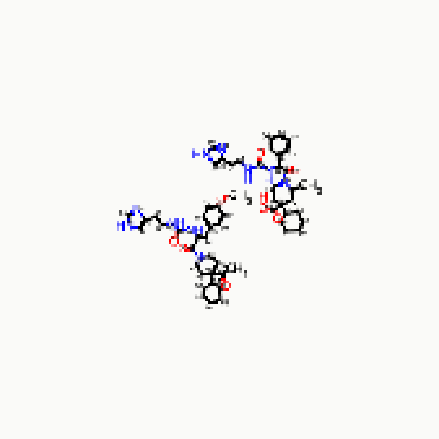 CC1CC(C(=O)O)(C2CCCCC2)CCN1C(=O)C(NC(=O)NCCc1c[nH]cn1)c1ccccc1.COc1ccc(CC(NC(=O)NCCc2c[nH]cn2)C(=O)N2CCC(C(C)=O)(C3CCCCC3)CC2)cc1